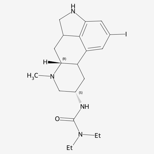 CCN(CC)C(=O)N[C@H]1CC2c3cc(I)cc4c3C(CN4)C[C@H]2N(C)C1